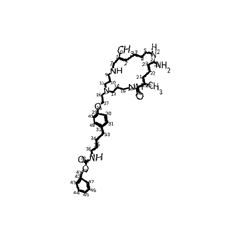 C[C@@H](CCCCN)CNCCCN(CCCNC(=O)[C@@H](C)CCCCN)CCOc1ccc(CCCCNC(=O)OCc2ccccc2)cc1